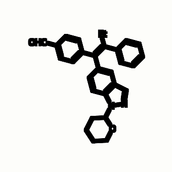 CCC(=C(c1ccc(C=O)cc1)c1ccc2c(cnn2C2CCCCO2)c1)c1ccccc1